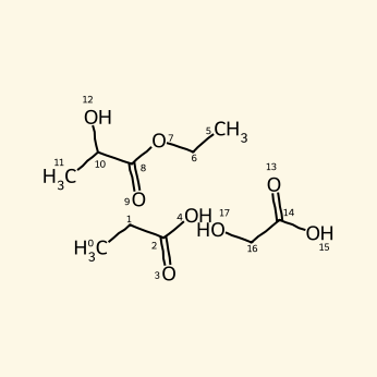 CCC(=O)O.CCOC(=O)C(C)O.O=C(O)CO